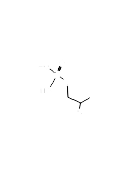 CC(=O)C(C)COP(=O)(O)O